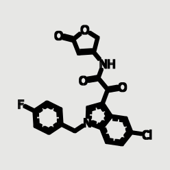 O=C1C=C(NC(=O)C(=O)c2cn(Cc3ccc(F)cc3)c3ccc(Cl)cc23)CO1